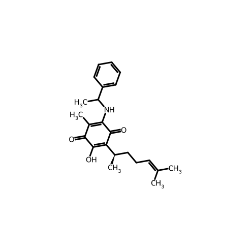 CC(C)=CCC[C@@H](C)C1=C(O)C(=O)C(C)=C(NC(C)c2ccccc2)C1=O